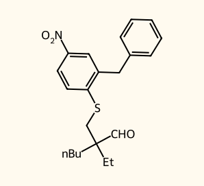 CCCCC(C=O)(CC)CSc1ccc([N+](=O)[O-])cc1Cc1ccccc1